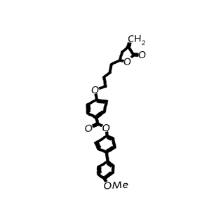 C=C1CC(CCCCOc2ccc(C(=O)Oc3ccc(-c4ccc(OC)cc4)cc3)cc2)OC1=O